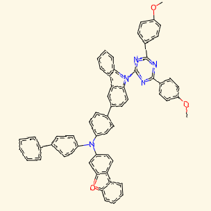 COc1ccc(-c2nc(-c3ccc(OC)cc3)nc(-n3c4ccccc4c4cc(-c5ccc(N(c6ccc(-c7ccccc7)cc6)c6ccc7c(c6)oc6ccccc67)cc5)ccc43)n2)cc1